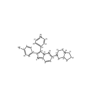 Fc1ccc(-c2nc3ccc(N4CCN5CCCC5C4)nn3c2-c2ccncc2)cc1